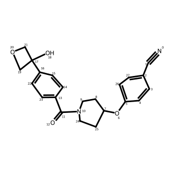 N#Cc1ccc(OC2CCN(C(=O)c3ccc(C4(O)COC4)cc3)CC2)cc1